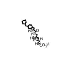 O=C(O)NCCCC(CNC(=O)c1cc2ccc(Cc3ccccc3)cc2[nH]1)NC(=O)O